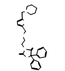 O=C1NC(c2ccccc2)(c2ccccc2)C(=O)N1CCNCc1ccc(CN2CCCCC2)o1